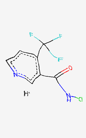 O=C(NCl)c1cnccc1C(F)(F)F.[H+]